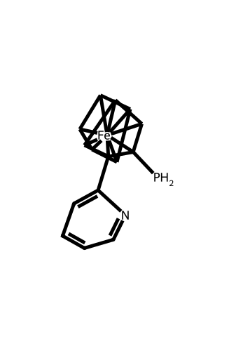 P[C]12[CH]3[CH]4[CH]5[C]1(c1ccccn1)[Fe]43521678[CH]2[CH]1[CH]6[CH]7[CH]28